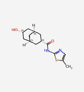 Cc1cnc(NC(=O)[C@H]2C[C@@H]3C[C@@H](O)C[C@@H](C3)C2)s1